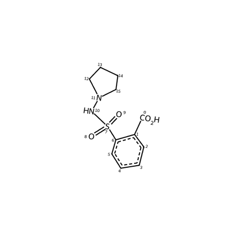 O=C(O)c1ccccc1S(=O)(=O)NN1CCCC1